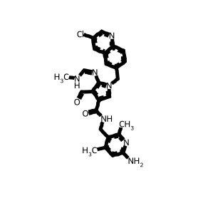 CN/C=N\c1c(C=O)c(C(=O)NCc2c(C)cc(N)nc2C)cn1Cc1ccc2ncc(Cl)cc2c1